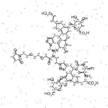 CC(C)[C@@H](C(N)=O)N(C)C(=O)OC(Cc1cn(CCN(CCn2cc(CC(OC(=O)N(C)[C@H](C(N)=O)C(C)C)c3ccc(O[C@@H]4O[C@H](C(=O)O)C[C@H](O)[C@H]4O)c4cc(CCC(=O)O)sc34)nn2)C(=O)COCCOCCN2C(=O)C=CC2=O)nn1)c1ccc(O[C@@H]2O[C@H](C(=O)O)C[C@H](O)[C@H]2O)c2cc(CCC(=O)O)sc12